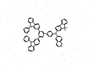 CC1(C)c2ccccc2-c2ccc(N(c3ccc(-c4cc(-c5ccc6c7ccccc7n(-c7ccccc7)c6c5)cc(-c5ccc6c7ccccc7n(-c7ccccc7)c6c5)c4)cc3)c3ccc4cnccc4c3)cc21